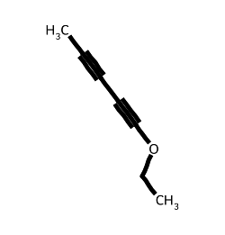 CC#CC#COCC